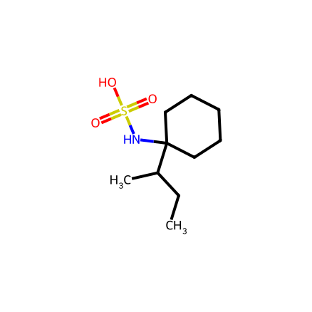 CCC(C)C1(NS(=O)(=O)O)CCCCC1